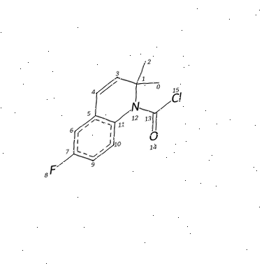 CC1(C)C=Cc2cc(F)ccc2N1C(=O)Cl